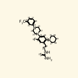 NC(=S)NN=Cc1cc(F)c(N2CCN(c3cccc(C(F)(F)F)c3)CC2)cc1N1CCCCC1